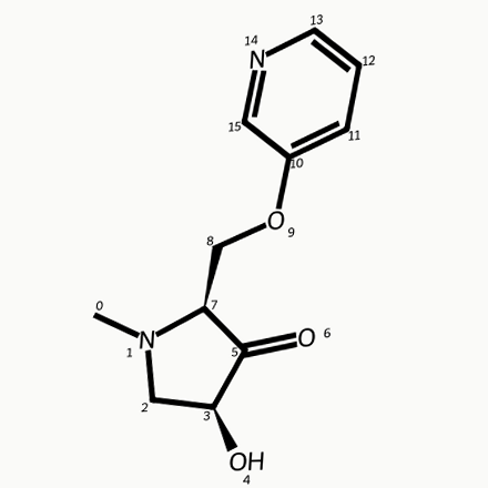 CN1C[C@H](O)C(=O)[C@@H]1COc1cccnc1